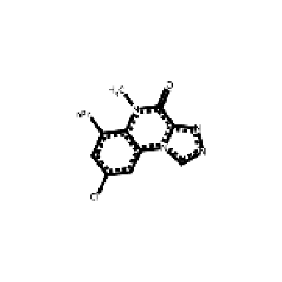 CCCc1cc(Cl)cc2c1n(C)c(=O)c1nncn12